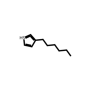 CCCCCCC1=C=[SH]C=C1